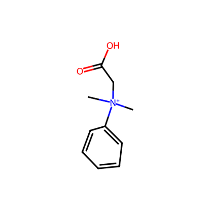 C[N+](C)(CC(=O)O)c1ccccc1